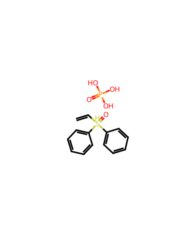 C=C[SH](=O)(c1ccccc1)c1ccccc1.O=P(O)(O)O